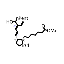 C=C/C(=C\C=C\[C@H]1CC[C@@H](Cl)[C@@H]1CCCCCCC(=O)OC)C(O)CCCCC